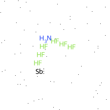 F.F.F.F.F.F.N.[Sb]